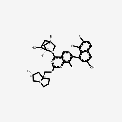 CCc1c(F)ccc2cc(O)cc(-c3ncc4c(N5C[C@H]6C[C@@H]5[C@@H](O)C6)nc(OC[C@@]56CCCN5C[C@H](F)C6)nc4c3F)c12